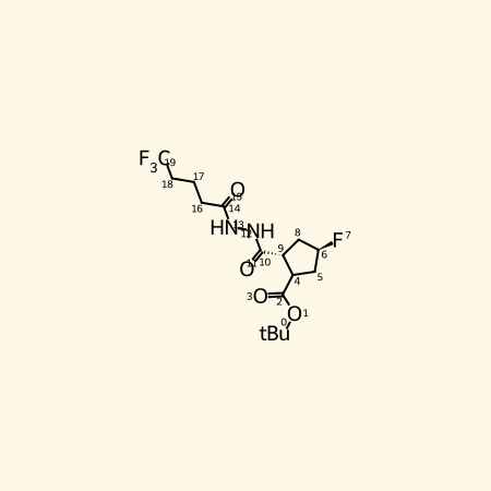 CC(C)(C)OC(=O)C1C[C@H](F)C[C@H]1C(=O)NNC(=O)CCCC(F)(F)F